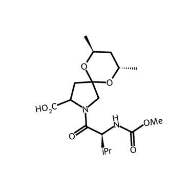 COC(=O)N[C@H](C(=O)N1CC2(CC1C(=O)O)O[C@@H](C)C[C@H](C)O2)C(C)C